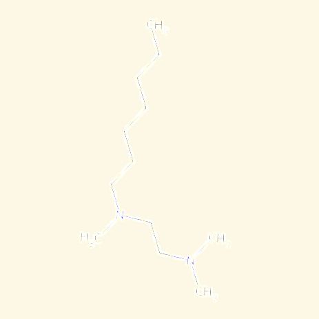 CCCCCCCN(C)CCN(C)C